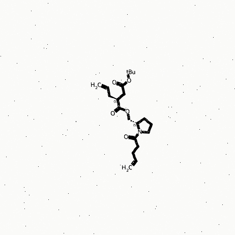 C=CCCC(=O)N1CCC[C@H]1COC(=O)[C@@H](CC=C)CC(=O)OC(C)(C)C